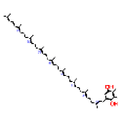 CC(C)=CCC/C(C)=C/CC/C(C)=C/CC/C(C)=C/CC/C(C)=C/CC/C(C)=C/CC/C(C)=C/CC/C(C)=C/CC/C(C)=C/Cc1cc(O)c(C)c(C)c1O